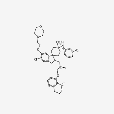 C[C@@H](COc1ccnc2c1[C@H](C)CCC2)CC1Cc2cc(Cl)c(OCCN3CCOCC3)cc2C12CCC(Nc1cccc(Cl)c1)(C(=O)O)CC2